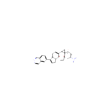 CN(C)[C@H]1C[C@@]23CC[C@@]4(O2)C(=CC[C@]2(C)C(c5ccc6cnccc6c5)=CCC24)C2CC23[C@@H](O)[C@@H]1O